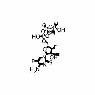 C#C[C@@]1(O)C(F)[C@@H](COP(=O)(O)OP(=O)(O)OP(=O)(O)O)O[C@H]1n1cc(F)c(N)nc1=S